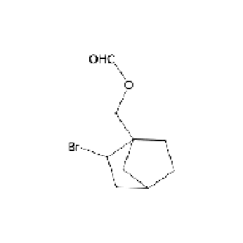 O=COCC12CCC(CC1Br)C2